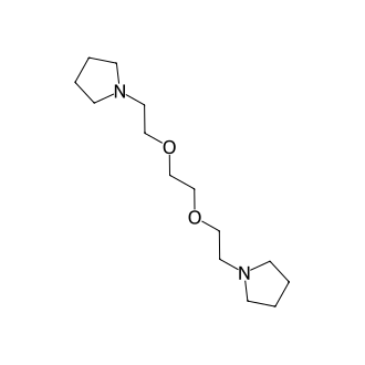 C1CCN(CCOCCOCCN2CCCC2)C1